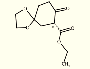 CCOC(=O)[C@@H]1CC2(CCC1=O)OCCO2